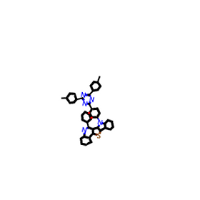 Cc1ccc(-c2nc(-c3ccc(C)cc3)nc(-c3ccc(-n4c5ccccc5c5sc6c7ccccc7nc(-c7ccccc7)c6c54)cc3)n2)cc1